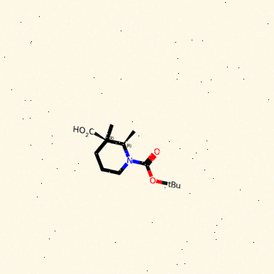 C[C@H]1N(C(=O)OC(C)(C)C)CCC[C@@]1(C)C(=O)O